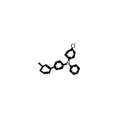 CC1C=C(c2ccc(N(c3ccccc3)c3ccc(Cl)cc3)cc2)C=CC1